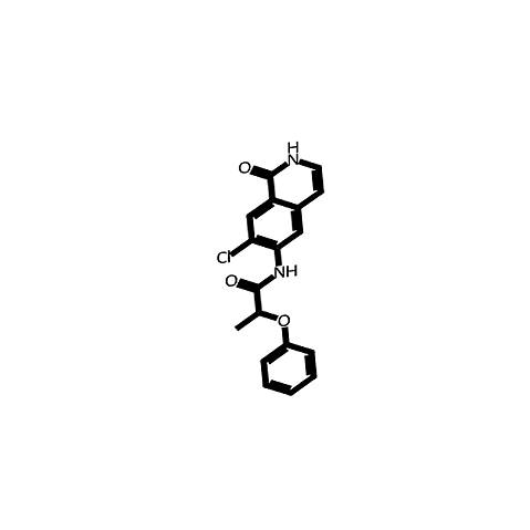 CC(Oc1ccccc1)C(=O)Nc1cc2cc[nH]c(=O)c2cc1Cl